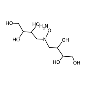 NON(CC(O)C(O)CO)CC(O)C(O)CO